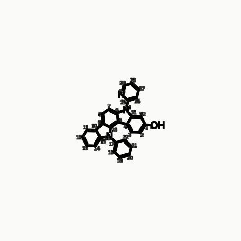 Oc1ccc2c3c(ccc4c5ccccc5n(-c5ccccc5)c43)n(-c3ccccn3)c2c1